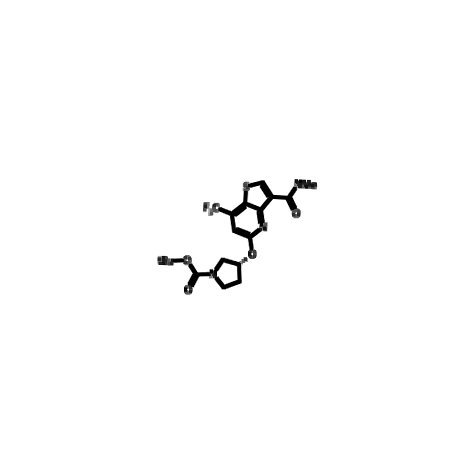 CNC(=O)c1csc2c(C(F)(F)F)cc(O[C@@H]3CCN(C(=O)OC(C)(C)C)C3)nc12